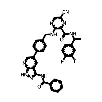 CC(NC(=O)c1nc(C#N)cnc1NCc1ccc(-c2cnc3[nH]nc(NC(=O)c4ccccc4)c3c2)cc1)c1ccc(F)c(F)c1